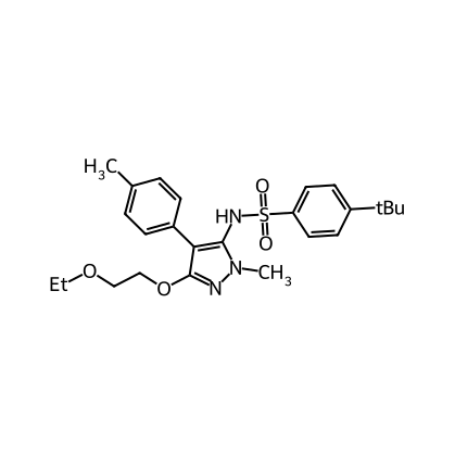 CCOCCOc1nn(C)c(NS(=O)(=O)c2ccc(C(C)(C)C)cc2)c1-c1ccc(C)cc1